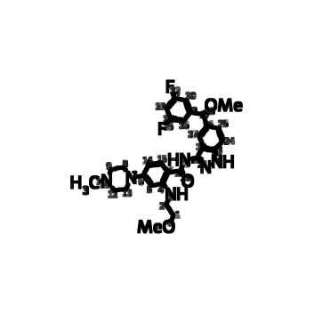 COCCNc1cc(N2CCN(C)CC2)ccc1C(=O)Nc1n[nH]c2ccc(C(OC)c3cc(F)cc(F)c3)cc12